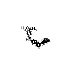 CC(C)N1CCN(CCNC2CCN(c3cccc(-c4cc5cc(F)cnc5[nH]4)c3)CC2)CC1